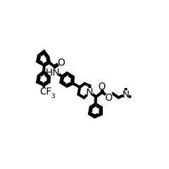 CN(C)CCOC(=O)C(c1ccccc1)N1CCC(c2ccc(NC(=O)c3ccccc3-c3ccc(C(F)(F)F)cc3)cc2)CC1